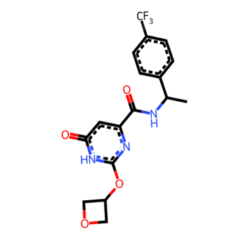 CC(NC(=O)c1cc(=O)[nH]c(OC2COC2)n1)c1ccc(C(F)(F)F)cc1